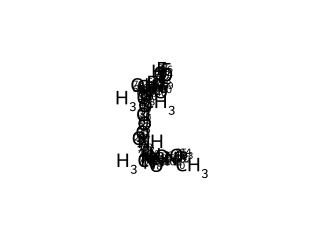 C[C@H](CC(=O)N1CCC(O)(Cn2cnc3c(-c4ccc(CNC(=O)COCCOCCOCCOCC(C)(C)c5cc6cc(NC(=O)C7(c8ccc9c(c8)OC(F)(F)O9)CC7)c(F)cc6n5C[C@@H](O)CO)cc4)n(C)nc3c2=O)CC1)c1ccccc1